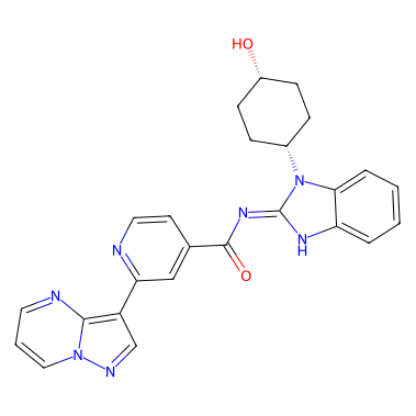 O=C(/N=c1\[nH]c2ccccc2n1[C@H]1CC[C@@H](O)CC1)c1ccnc(-c2cnn3cccnc23)c1